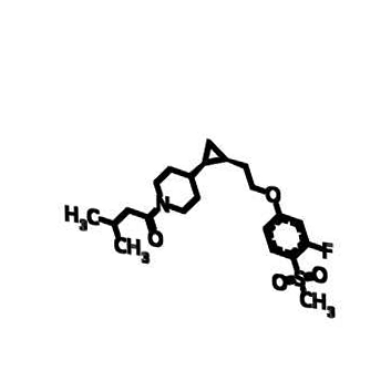 CC(C)CC(=O)N1CCC([C@H]2C[C@H]2CCOc2ccc(S(C)(=O)=O)c(F)c2)CC1